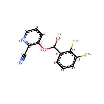 N#Cc1ncccc1OC([O])c1cccc(F)c1F